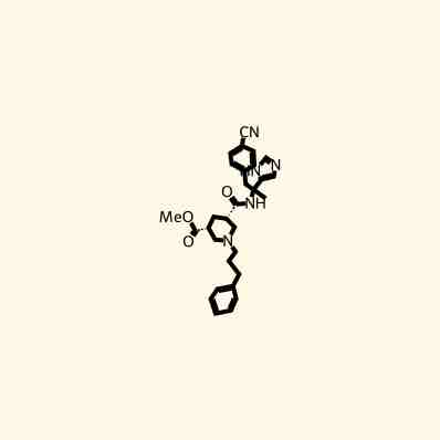 COC(=O)[C@@H]1C[C@H](C(=O)NC(C)(Cc2ccc(C#N)cc2)c2cnc[nH]2)CN(CCCc2ccccc2)C1